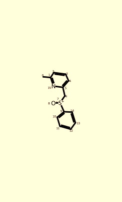 Cc1cccc(C[S+]([O-])c2ccccc2)n1